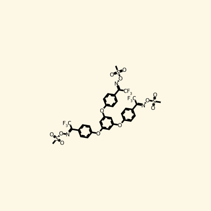 CS(=O)(=O)O/N=C(/c1ccc(Oc2cc(Oc3ccc(/C(=N/OS(C)(=O)=O)C(F)(F)F)cc3)cc(Oc3ccc(/C(=N/OS(C)(=O)=O)C(F)(F)F)cc3)c2)cc1)C(F)(F)F